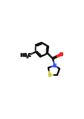 O=C(O)c1cccc(C(=O)N2CCSC2)c1